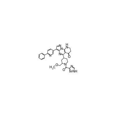 COCC1CC(c2nc3c(-c4ccc(-c5ccccc5)nc4)cnn3c3c2C(=O)CCN3)CCN1C(=O)c1nc[nH]n1